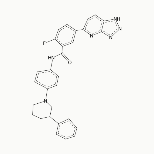 O=C(Nc1ccc(N2CCCC(c3ccccc3)C2)cc1)c1cc(-c2ccc3[nH]nnc3n2)ccc1F